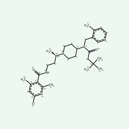 Cc1ccncc1CN(C(=O)CC(C)(C)C)C1CCN([C@H](C)CCNC(=O)c2c(C)cc(Cl)nc2C)CC1